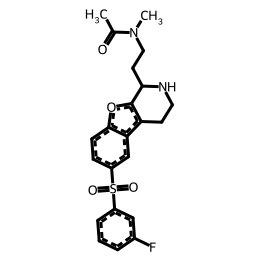 CC(=O)N(C)CCC1NCCc2c1oc1ccc(S(=O)(=O)c3cccc(F)c3)cc21